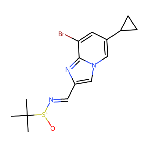 CC(C)(C)[S+]([O-])N=Cc1cn2cc(C3CC3)cc(Br)c2n1